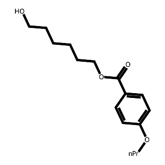 CCCOc1ccc(C(=O)OCCCCCCO)cc1